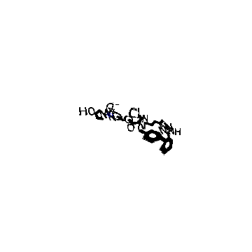 CCCCc1nc(Cl)c(C(=O)OCO/N=[N+](\[O-])N2CCC(O)C2)n1Cc1ccc(-c2ccccc2-c2nnn[nH]2)cc1